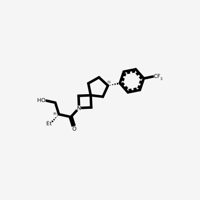 CC[C@H](CO)C(=O)N1CC2(CC[C@H](c3ccc(C(F)(F)F)cc3)C2)C1